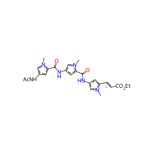 CCOC(=O)/C=C/c1cc(NC(=O)c2cc(NC(=O)c3cc(NC(C)=O)cn3C)cn2C)cn1C